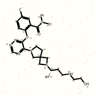 CCN(C(=O)c1cc(F)ccc1Oc1nncnc1N1CCC2(C1)CN([C@H](CCNCCO)C(C)C)C2)C(C)C